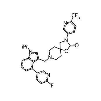 CC(C)n1cc(CN2CCC3(CC2)CN(c2ccc(C(F)(F)F)nc2)C(=O)O3)c2c(-c3ccc(F)nc3)cccc21